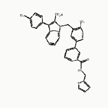 Cc1ccc(-c2cccc(C(=O)NCc3cccs3)c2)cc1Cn1c(C(=O)O)c(-c2ccc(C(C)(C)C)cc2)c2ccccc21